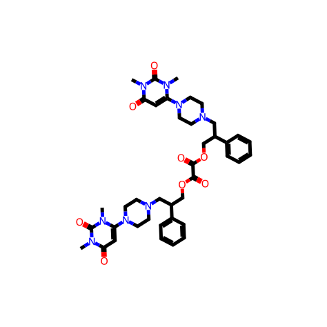 Cn1c(N2CCN(CC(COC(=O)C(=O)OCC(CN3CCN(c4cc(=O)n(C)c(=O)n4C)CC3)c3ccccc3)c3ccccc3)CC2)cc(=O)n(C)c1=O